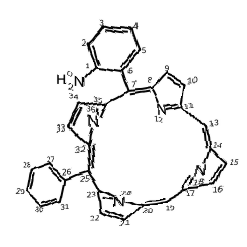 Nc1ccccc1C1=C2C=CC(=N2)C=C2C=CC(=N2)C=C2C=CC(=N2)C(c2ccccc2)=C2C=CC1=N2